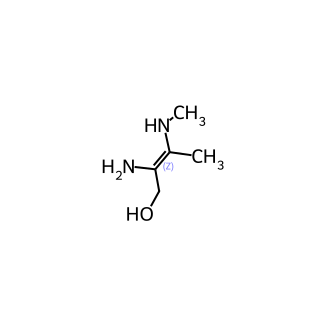 CN/C(C)=C(\N)CO